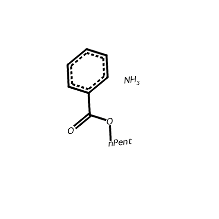 CCCCCOC(=O)c1ccccc1.N